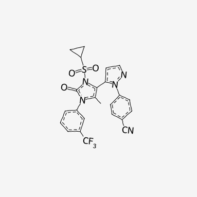 Cc1c(-c2ccnn2-c2ccc(C#N)cc2)n(S(=O)(=O)C2CC2)c(=O)n1-c1cccc(C(F)(F)F)c1